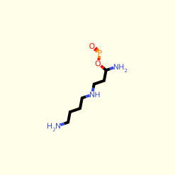 NCCCCNCCC(N)OP=O